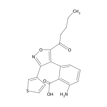 CCCCC(=O)c1onc(-c2ccsc2)c1-c1cccc(N)c1C(=O)O